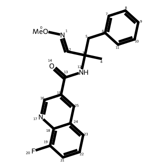 CON=CC(C)(Cc1ccccc1)NC(=O)c1cnc2c(F)cccc2c1